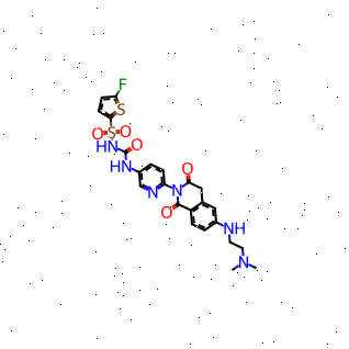 CN(C)CCNc1ccc2c(c1)CC(=O)N(c1ccc(NC(=O)NS(=O)(=O)c3ccc(F)s3)cn1)C2=O